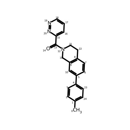 Cc1ccc(-c2ccc3c(c2)CN(C(=O)c2cccnn2)CC3)cc1